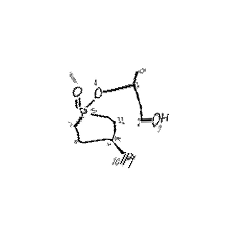 CC(CO)OP1(=O)CC[C@H](C(C)C)C1